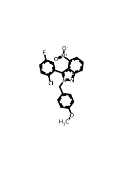 COc1ccc(Cn2nc3cccc([N+](=O)[O-])c3c2-c2cc(F)ccc2Cl)cc1